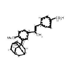 COc1ccc(C(C)=Cc2ccc(C(=O)O)cc2)cc1C12CC3CC(CC(C3)C1)C2